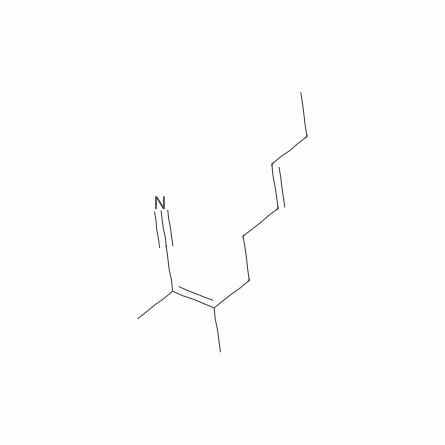 CCC=CCCC(C)=C(C)C#N